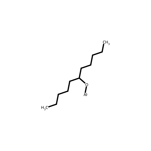 CCCCCC(CCCCC)[O][Al]